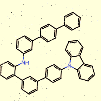 c1ccc(-c2ccc(-c3cccc(Nc4ccccc4-c4cccc(-c5ccc(-n6c7ccccc7c7ccccc76)cc5)c4)c3)cc2)cc1